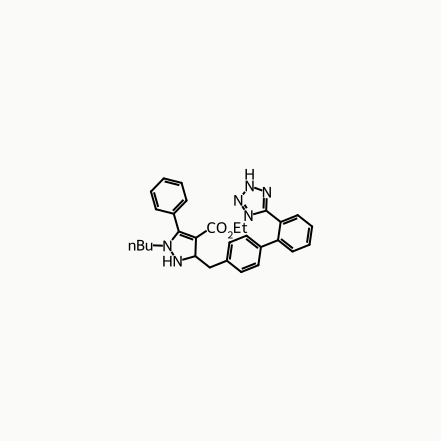 CCCCN1NC(Cc2ccc(-c3ccccc3-c3nn[nH]n3)cc2)C(C(=O)OCC)=C1c1ccccc1